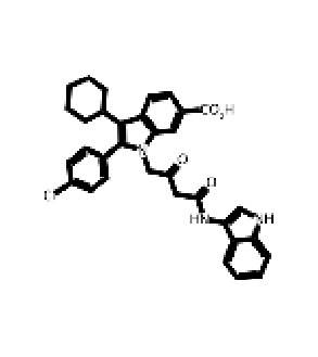 O=C(CC(=O)Nc1c[nH]c2ccccc12)Cn1c(-c2ccc(Cl)cc2)c(C2CCCCC2)c2ccc(C(=O)O)cc21